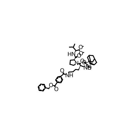 COC(OC)[C@@H](NC(=O)[C@@H]1CCCN1C(=O)[C@H](CCCCNC(=O)c1ccc(C(=O)OCc2ccccc2)cc1)NS(=O)(=O)C12CC3CC(CC(C3)C1)C2)C(C)C